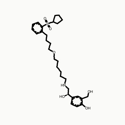 O=S(=O)(c1ccccc1CCCCOCCCCCCNC[C@H](O)c1ccc(O)c(CO)c1)C1CCCC1